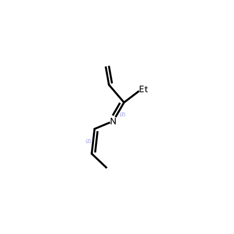 C=C/C(CC)=N\C=C/C